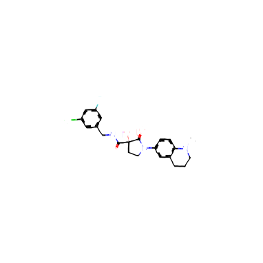 CC(=O)N1CCCc2cc(N3CC[C@](O)(C(=O)NCc4cc(F)cc(Cl)c4)C3=O)ccc21